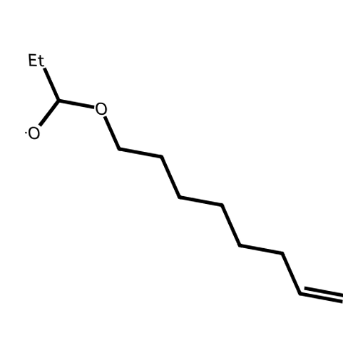 C=CCCCCCCOC([O])CC